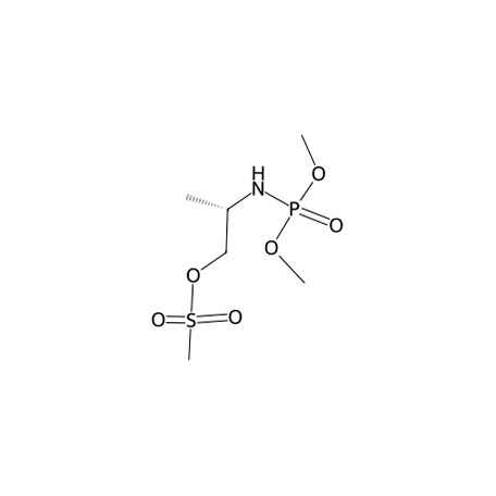 COP(=O)(N[C@@H](C)COS(C)(=O)=O)OC